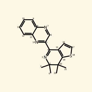 CC1(C)N=C(c2cnc3ccccc3n2)c2ccsc2C1(C)C